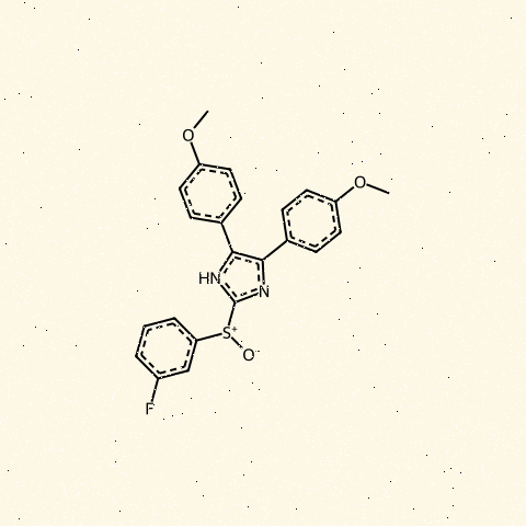 COc1ccc(-c2nc([S+]([O-])c3cccc(F)c3)[nH]c2-c2ccc(OC)cc2)cc1